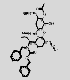 CC[C@@H]([C@@H]1CC[C@@H](N=[N+]=[N-])[C@@H](O[C@H]2[C@H](O)[C@@H](OC(C)=O)C(N=[N+]=[N-])C[C@@H]2N=[N+]=[N-])O1)N(Cc1ccccc1)C(=O)OCc1ccccc1